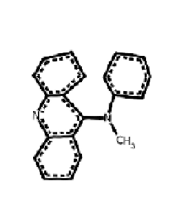 CN(c1ccccc1)c1c2ccccc2nc2ccccc12